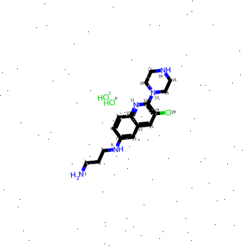 Cl.Cl.NCCCNc1ccc2nc(N3CCNCC3)c(Cl)cc2c1